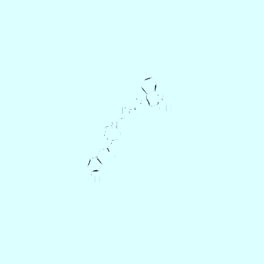 Cc1ccc(CC(=O)N2CCN(CCNC(=O)Nc3cc(C)nc4ccccc34)CC2)cc1